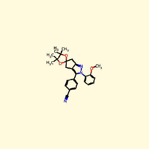 COc1ccccc1-n1nc2c(c1-c1ccc(C#N)cc1)CC1(C2)OC(C)(C)C(C)(C)O1